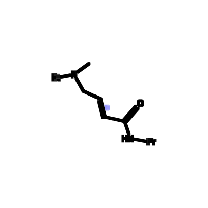 CCN(C)C/C=C/C(=O)NC(C)C